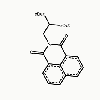 CCCCCCCCCCC(CCCCCCCC)CN1C(=O)c2cccc3cccc(c23)C1=O